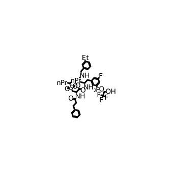 CCCC(CCC)S(=O)(=O)CC(NC(=O)CCc1ccccc1)C(=O)O[C@H](CNCc1cccc(CC)c1)[C@@H](N)Cc1cc(F)cc(F)c1.O=C(O)C(F)(F)F